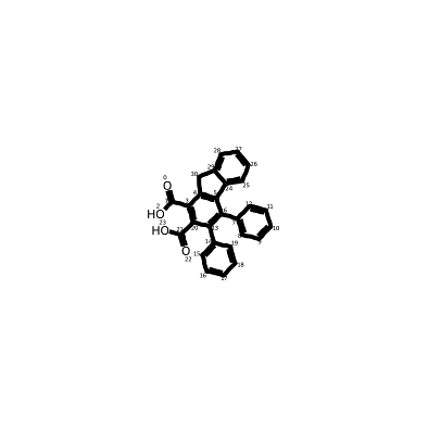 O=C(O)c1c2c(c(-c3ccccc3)c(-c3ccccc3)c1C(=O)O)-c1ccccc1C2